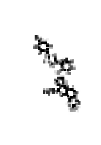 Nc1nc2c3c(ccc2c2nc(Cc4cccnc4N4CC[C@@H](c5ccc(F)cc5)C4)nn12)OC(F)(F)O3